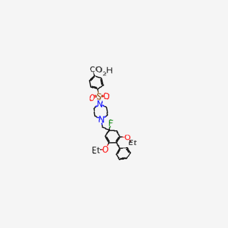 CCOC1=CC(F)(CN2CCN(S(=O)(=O)c3ccc(C(=O)O)cc3)CC2)CC(OCC)=C1c1ccccc1